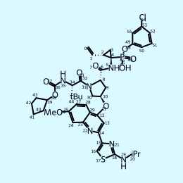 C=C[C@@H]1C[C@]1(NC(=O)[C@@H]1C[C@@H](Oc2cc(-c3csc(NC(C)C)n3)nc3cc(OC)ccc23)CN1C(=O)[C@@H](NC(=O)OC1CCCC1)C(C)(C)C)P(=O)(O)Oc1cccc(Cl)c1